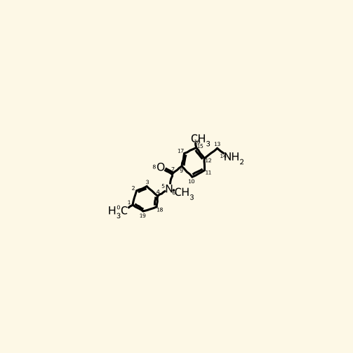 Cc1ccc(N(C)C(=O)c2ccc(CN)c(C)c2)cc1